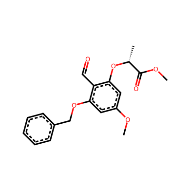 COC(=O)[C@@H](C)Oc1cc(OC)cc(OCc2ccccc2)c1C=O